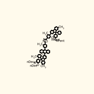 CCCCCCCCCCOc1ccc(C2(c3cc(C)ccc3C)c3cc(C)ccc3-c3ccc(-c4c5ccccc5c(-c5ccc(-c6nnc(-c7ccc(-c8ccc9c(c8)C(c8ccccc8)(c8ccc(OCCCCC)c(OCCCCC)c8)c8cc(C)ccc8-9)c(C)c7)o6)c(C)c5)c5ccccc45)cc32)cc1OCCCCCCCCCC